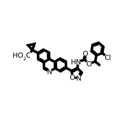 CC(OC(=O)Nc1cnoc1-c1ccc2c(c1)ncc1cc(C3(C(=O)O)CC3)ccc12)c1ccccc1Cl